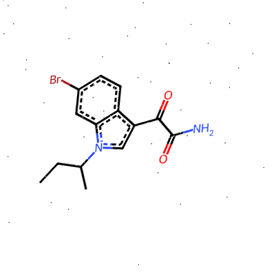 CCC(C)n1cc(C(=O)C(N)=O)c2ccc(Br)cc21